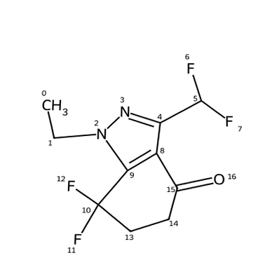 CCn1nc(C(F)F)c2c1C(F)(F)CCC2=O